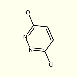 [O]c1ccc(Cl)nn1